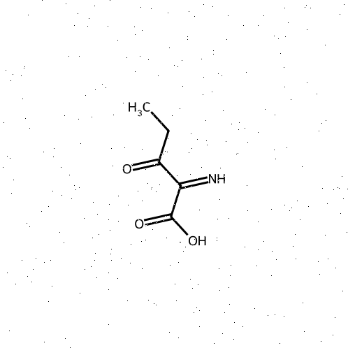 CCC(=O)C(=N)C(=O)O